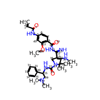 C=CC(=O)Nc1ccc(C(=O)NC(=N)C2=C(NC)C(C)(C)N(C(=O)NC(CN(C)C)c3ccccc3)C2)c(OC)c1